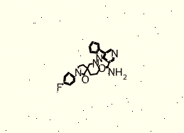 NC(=O)c1cncc2c3ccccc3n(N3CCCC4(CCN(c5ccc(F)cc5)C4=O)C3)c12